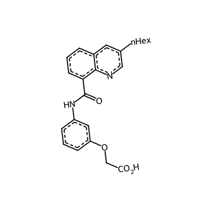 CCCCCCc1cnc2c(C(=O)Nc3cccc(OCC(=O)O)c3)cccc2c1